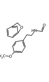 COc1ccc(CCNC=O)cc1.c1cc2cc(c1)OC2